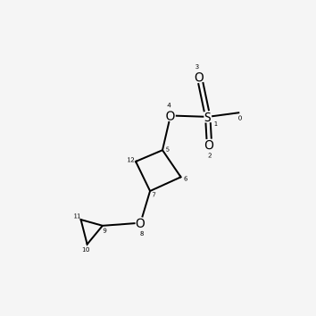 CS(=O)(=O)OC1CC(OC2CC2)C1